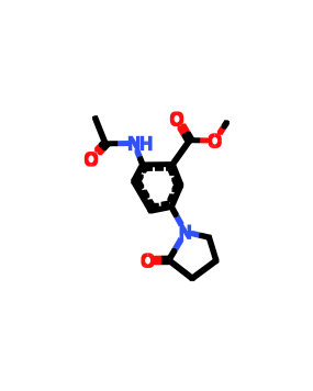 COC(=O)c1cc(N2CCCC2=O)ccc1NC(C)=O